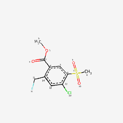 COC(=O)c1cc(S(C)(=O)=O)c(Cl)cc1CF